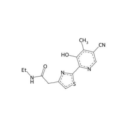 CCNC(=O)Cc1csc(-c2ncc(C#N)c(C)c2O)n1